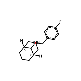 Fc1ccc(CNC2[C@@H]3CCC[C@H]2CNC3)cc1